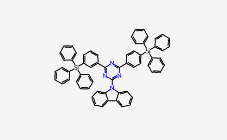 c1ccc([Si](c2ccccc2)(c2ccccc2)c2ccc(-c3nc(-c4cccc([Si](c5ccccc5)(c5ccccc5)c5ccccc5)c4)nc(-n4c5ccccc5c5ccccc54)n3)cc2)cc1